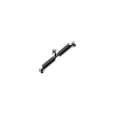 C=C(C)C(=O)OCC(F)(F)C(F)(F)C(F)(F)C(F)(F)C(F)(F)C(F)(F)C(F)(F)C(F)(F)C(F)(F)C(F)(F)CO[Si](C)(CCC(F)(F)F)OCC(F)(F)C(F)(F)C(F)(F)C(F)(F)C(F)(F)C(F)(F)C(F)(F)C(F)(F)C(F)(F)C(F)(F)COC(=O)C(=C)C